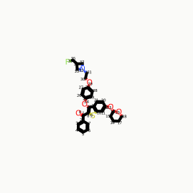 O=C(c1ccccc1)c1sc2cc(OC3CCCCO3)ccc2c1Oc1ccc(OCCN2CC(CF)C2)cc1